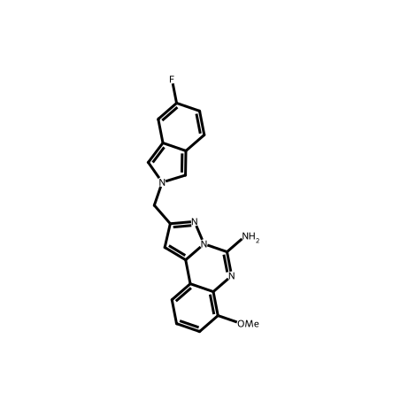 COc1cccc2c1nc(N)n1nc(Cn3cc4ccc(F)cc4c3)cc21